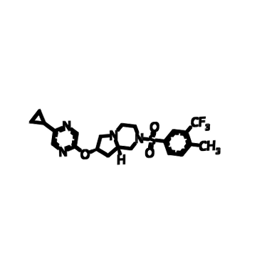 Cc1ccc(S(=O)(=O)N2CCN3C[C@H](Oc4cnc(C5CC5)cn4)C[C@H]3C2)cc1C(F)(F)F